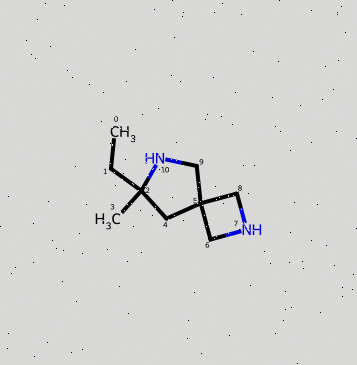 CCC1(C)CC2(CNC2)CN1